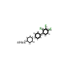 CCCCCC[C@H]1CC[C@H](c2ccc(-c3ccc(F)c(F)c3F)cc2)CC1